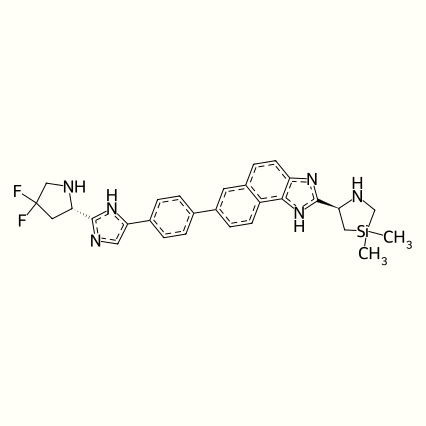 C[Si]1(C)CN[C@H](c2nc3ccc4cc(-c5ccc(-c6cnc([C@@H]7CC(F)(F)CN7)[nH]6)cc5)ccc4c3[nH]2)C1